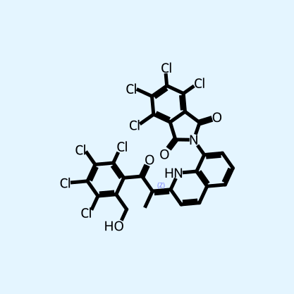 C/C(C(=O)c1c(Cl)c(Cl)c(Cl)c(Cl)c1CO)=C1\C=Cc2cccc(N3C(=O)c4c(Cl)c(Cl)c(Cl)c(Cl)c4C3=O)c2N1